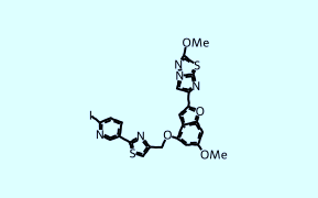 COc1cc(OCc2csc(-c3ccc(I)nc3)n2)c2cc(-c3cn4nc(OC)sc4n3)oc2c1